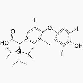 CC(C)[Si](C(C)C)(C(C)C)C(C(=O)O)c1cc(I)c(Oc2cc(I)c(O)c(I)c2)c(I)c1